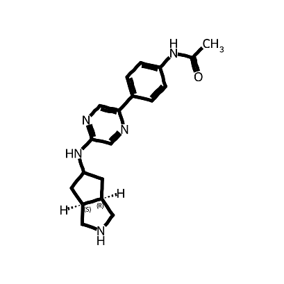 CC(=O)Nc1ccc(-c2cnc(NC3C[C@H]4CNC[C@H]4C3)cn2)cc1